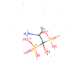 CC(N)C(O)(P(=O)(O)O)P(=O)(O)O